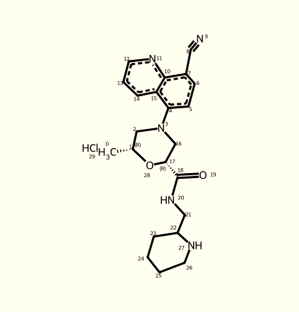 C[C@@H]1CN(c2ccc(C#N)c3ncccc23)C[C@H](C(=O)NCC2CCCCN2)O1.Cl